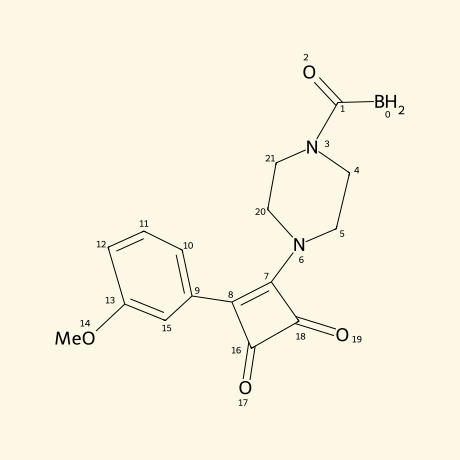 BC(=O)N1CCN(c2c(-c3cccc(OC)c3)c(=O)c2=O)CC1